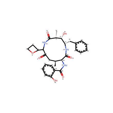 C[C@H]1CC(=O)C(C2CCO2)NC(=O)[C@H](C)[C@H](O)[C@H](Cc2ccccc2)NC(=O)[C@H]1NC(=O)c1ccccc1O